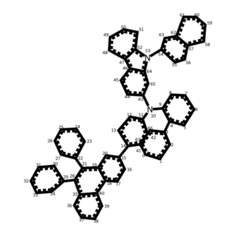 c1ccc(-c2ccccc2N(c2ccc(-c3ccc4c(c3)c(-c3ccccc3)c(-c3ccccc3)c3ccccc34)cc2)c2ccc3c4ccccc4n(-c4ccc5ccccc5c4)c3c2)cc1